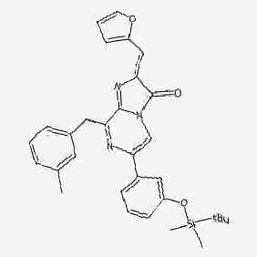 Cc1cccc(CC2=NC(c3cccc(O[Si](C)(C)C(C)(C)C)c3)=CN3C(=O)C(=Cc4ccco4)N=C23)c1